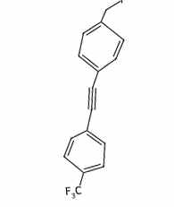 FCc1ccc(C#Cc2ccc(C(F)(F)F)cc2)cc1